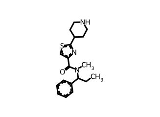 CCC(c1ccccc1)N(C)C(=O)c1csc(C2CCNCC2)n1